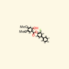 COc1cc(O)c(C(=O)Oc2ccc(-c3ccccc3)cc2F)cc1OC